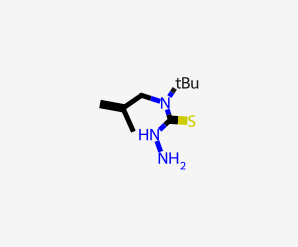 C=C(C)CN(C(=S)NN)C(C)(C)C